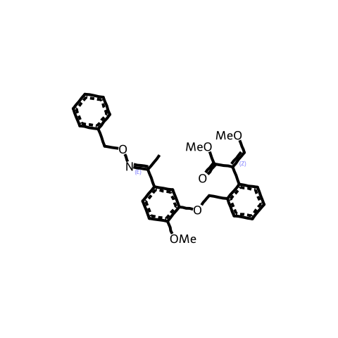 CO/C=C(\C(=O)OC)c1ccccc1COc1cc(/C(C)=N/OCc2ccccc2)ccc1OC